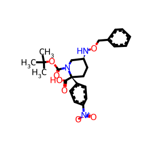 CC(C)(C)OC(=O)N1C[C@H](NOCc2ccccc2)CC[C@@]1(C(=O)O)c1ccc([N+](=O)[O-])cc1